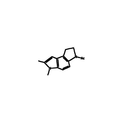 CC(=O)N1CCc2c1ccc1c2cc(C)n1C